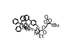 CCCc1nc(CC)c(C(=O)OCc2oc(=O)oc2C(C)(C)C)n1Cc1ccc(-c2ccccc2-c2nnnn2C(c2ccccc2)(c2ccccc2)c2ccccc2)cc1